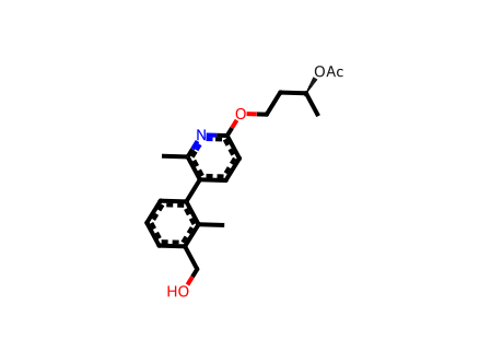 CC(=O)O[C@@H](C)CCOc1ccc(-c2cccc(CO)c2C)c(C)n1